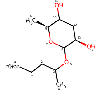 CCCCCCCCCCCC(C)OC1O[C@@H](C)C(O)C[C@H]1O